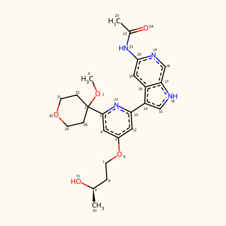 COC1(c2cc(OCC[C@@H](C)O)cc(-c3c[nH]c4cnc(NC(C)=O)cc34)n2)CCOCC1